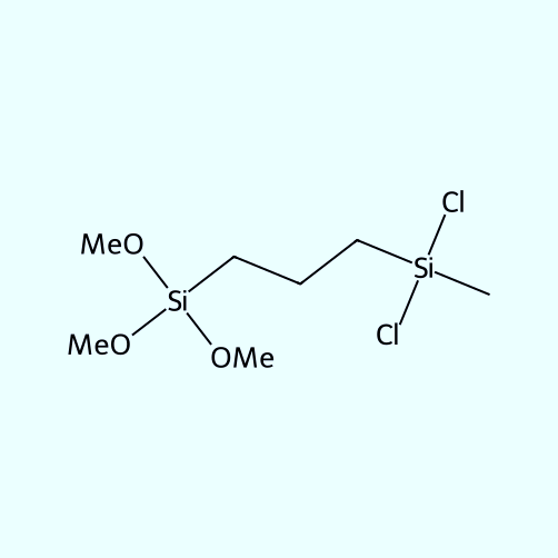 CO[Si](CCC[Si](C)(Cl)Cl)(OC)OC